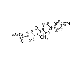 COC(=O)C1CCC(N(C)C(=O)N2CCN(c3ccc(C#N)cn3)CC2)CC1